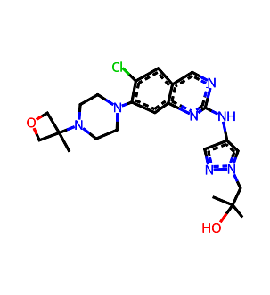 CC(C)(O)Cn1cc(Nc2ncc3cc(Cl)c(N4CCN(C5(C)COC5)CC4)cc3n2)cn1